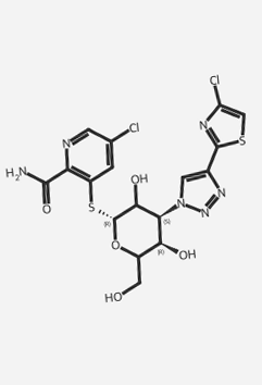 NC(=O)c1ncc(Cl)cc1S[C@H]1OC(CO)[C@H](O)[C@H](n2cc(-c3nc(Cl)cs3)nn2)C1O